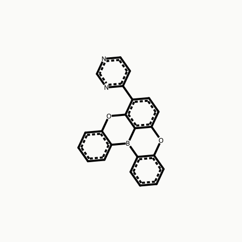 c1ccc2c(c1)Oc1ccc(-c3ccncn3)c3c1B2c1ccccc1O3